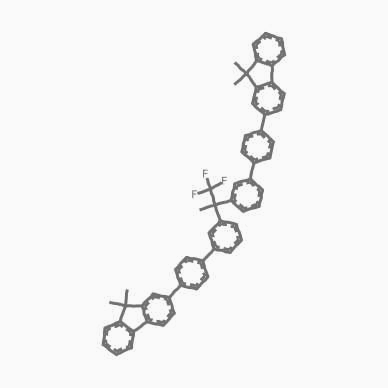 CC1(C)c2ccccc2-c2ccc(-c3ccc(-c4cccc(C(C)(c5cccc(-c6ccc(-c7ccc8c(c7)C(C)(C)c7ccccc7-8)cc6)c5)C(F)(F)F)c4)cc3)cc21